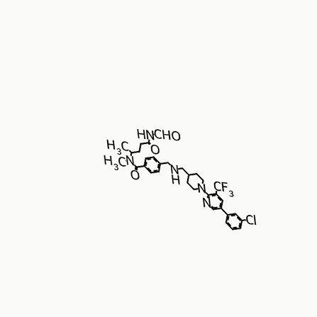 CC(CCC(=O)NC=O)N(C)C(=O)c1ccc(CNCC2CCN(c3ncc(-c4cccc(Cl)c4)cc3C(F)(F)F)CC2)cc1